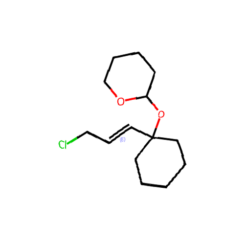 ClC/C=C/C1(OC2CCCCO2)CCCCC1